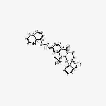 CC1(c2ccccc2Cl)CCN(C(=O)c2ccc(NCCc3cccc4cccnc34)cc2OC(F)(F)F)CC1